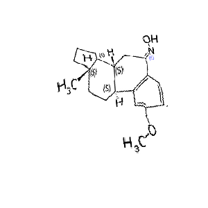 COc1[c]cc2c(c1)[C@H]1CC[C@]3(C)CCC[C@H]3[C@@H]1C/C2=N\O